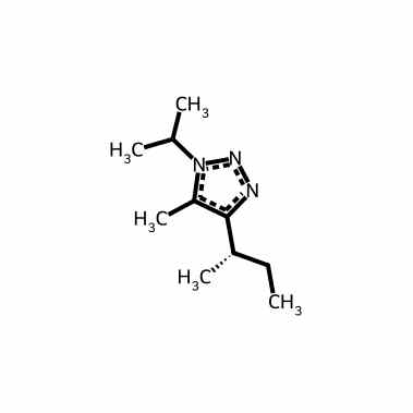 CC[C@H](C)c1nnn(C(C)C)c1C